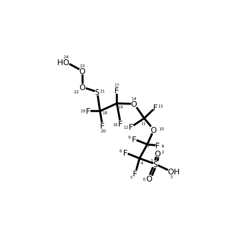 O=S(=O)(O)C(F)(F)C(F)(F)OC(F)(F)OC(F)(F)C(F)(F)SOOO